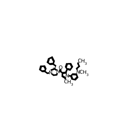 CCCCN(C)c1cccc(-n2c(C)cc(C(=O)N3CCN(Cc4ccccc4)C[C@H]3Cc3ccccc3)c2-c2ccccc2)c1